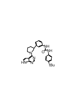 CC(C)(C)c1ccc(NC(=O)Nc2cccc(C3CCCN(c4ncnc5[nH]ccc45)C3)c2)cc1